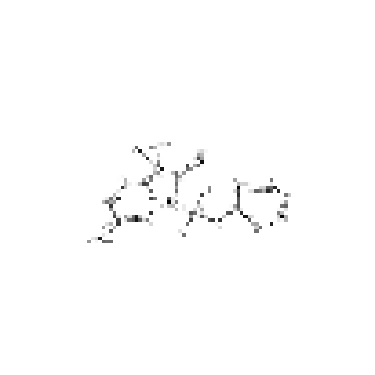 CC(C)(Cc1ccccc1)NC(=O)C1(c2ccc(Cl)cc2)CC1